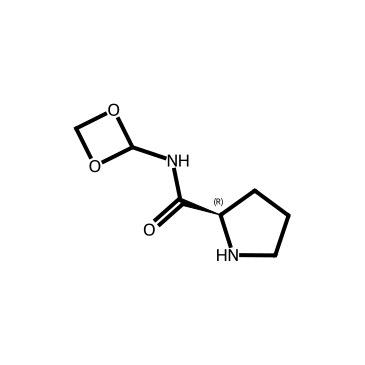 O=C(NC1OCO1)[C@H]1CCCN1